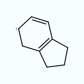 [C]1C=CC2=C(C1)CCC2